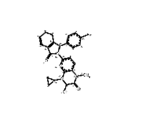 CC1C(=O)N(C)c2ccc(N3C(=O)C4=C(CCC=C4)C3c3ccc(F)cc3)nc2N1C1CC1